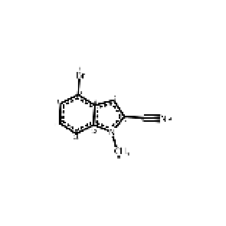 Cn1c(C#N)cc2c(Br)cccc21